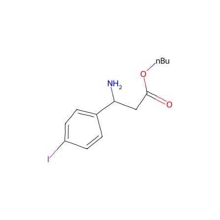 CCCCOC(=O)CC(N)c1ccc(I)cc1